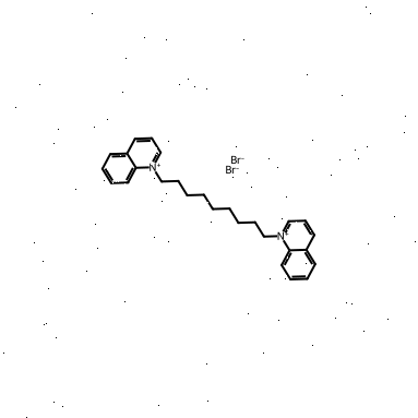 [Br-].[Br-].c1ccc2c(c1)ccc[n+]2CCCCCCCCC[n+]1cccc2ccccc21